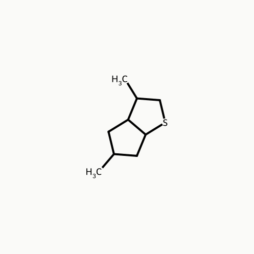 CC1CC2SCC(C)C2C1